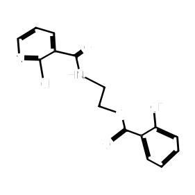 O=C(OCCNC(=O)c1cccnc1Cl)c1ccccc1C(F)(F)F